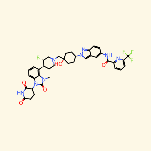 Cn1c(=O)n(C2CCC(=O)NC2=O)c2cccc([C@@H]3CCN(C[C@]4(O)CC[C@@H](n5cc6cc(NC(=O)c7cccc(C(F)(F)F)n7)ccc6n5)CC4)C[C@H]3F)c21